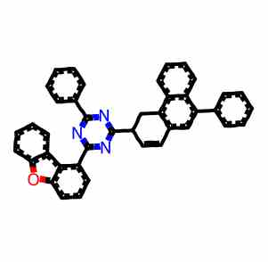 C1=CC(c2nc(-c3ccccc3)nc(-c3cccc4oc5ccccc5c34)n2)Cc2c1cc(-c1ccccc1)c1ccccc21